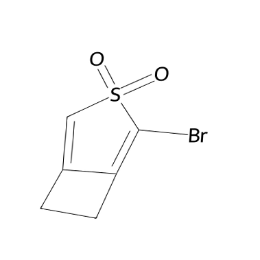 O=S1(=O)C=C2CCC2=C1Br